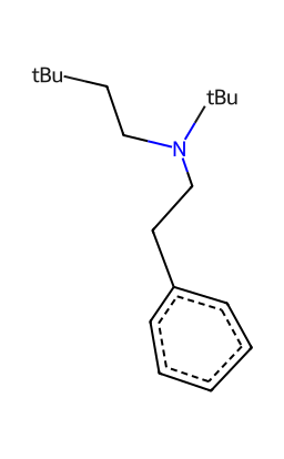 CC(C)(C)CCN(CCc1ccccc1)C(C)(C)C